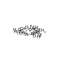 Cc1cc(C(F)(F)F)cc(N2C(=O)N(CCCN3CCN(C(=O)OC(C)(C)C)CC3)C[C@H]2C(=O)N(C)c2cccc(Cl)c2F)n1